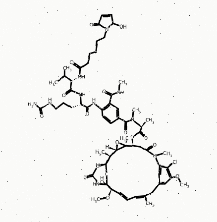 CNC(=O)c1cc(C(=O)N(C)[C@@H](C)C(=O)O[C@H]2CC(=O)N(C)c3cc(cc(OC)c3Cl)C/C(C)=C/C=C/[C@@H](OC)[C@@]3(O)C[C@H](OC(=O)N3)[C@@H](C)[C@@H]3O[C@@]23C)ccc1NC(=O)[C@H](CCCNC(N)=O)NC(=O)[C@@H](NC(=O)CCCCCN1C(=O)C=CC1O)C(C)C